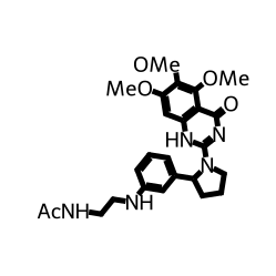 COc1cc2[nH]c(N3CCCC3c3cccc(NCCNC(C)=O)c3)nc(=O)c2c(OC)c1OC